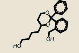 OCCCCC1CCOC(c2ccccc2)(c2ccccc2CO)O1